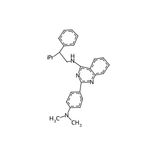 CC(C)C(CNc1nc(-c2ccc(N(C)C)cc2)nc2ccccc12)c1ccccc1